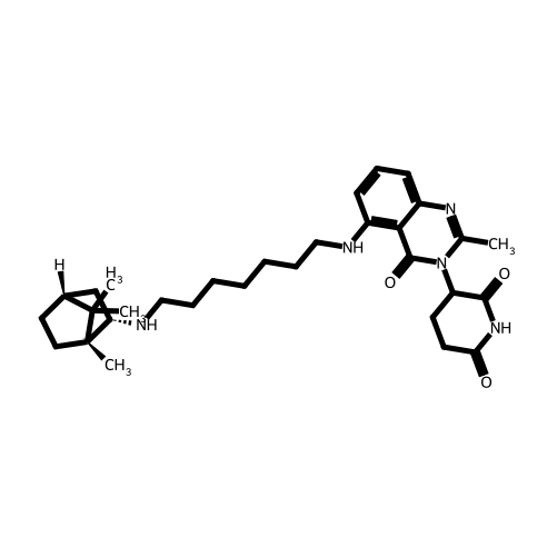 Cc1nc2cccc(NCCCCCCCN[C@H]3C[C@H]4CC[C@]3(C)C4(C)C)c2c(=O)n1C1CCC(=O)NC1=O